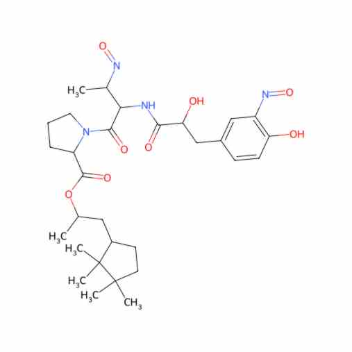 CC(CC1CCC(C)(C)C1(C)C)OC(=O)C1CCCN1C(=O)C(NC(=O)C(O)Cc1ccc(O)c(N=O)c1)C(C)N=O